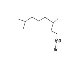 CC(C)CCCC(C)C[CH2][Mg][Br]